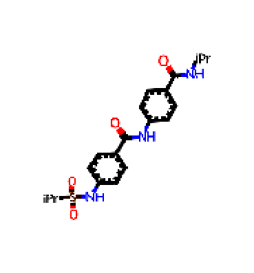 CC(C)NC(=O)c1ccc(NC(=O)c2ccc(NS(=O)(=O)C(C)C)cc2)cc1